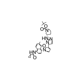 Cc1ccc2c(NC(=O)C3(C)CC3)cccc2c1Oc1ncccc1-c1ccnc(N[C@H]2CCCN(C(=O)OC(C)(C)C)C2)n1